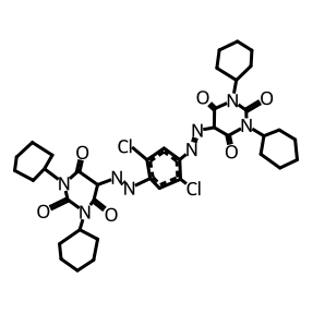 O=C1C(/N=N/c2cc(Cl)c(/N=N/C3C(=O)N(C4CCCCC4)C(=O)N(C4CCCCC4)C3=O)cc2Cl)C(=O)N(C2CCCCC2)C(=O)N1C1CCCCC1